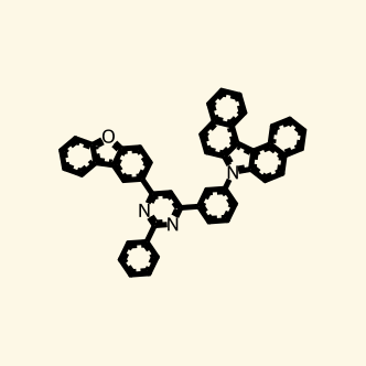 c1ccc(-c2nc(-c3cccc(-n4c5ccc6ccccc6c5c5c6ccccc6ccc54)c3)cc(-c3ccc4oc5ccccc5c4c3)n2)cc1